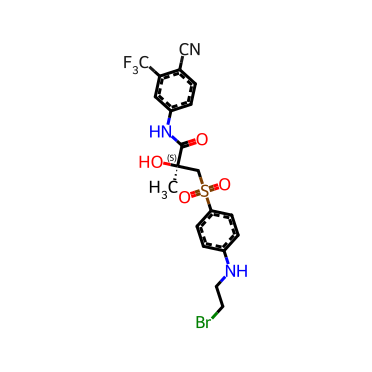 C[C@@](O)(CS(=O)(=O)c1ccc(NCCBr)cc1)C(=O)Nc1ccc(C#N)c(C(F)(F)F)c1